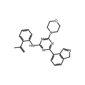 C=C(C)c1ccccc1Nc1nc(-c2cccc3c2C=NC3)nc(N2CCOCC2)n1